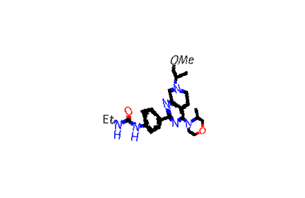 CCNC(=O)Nc1ccc(-c2nc3c(c(N4CCOCC4C)n2)CCN(C(C)COC)C3)cc1